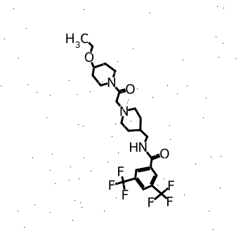 CCOC1CCN(C(=O)CN2CCC(CNC(=O)c3cc(C(F)(F)F)cc(C(F)(F)F)c3)CC2)CC1